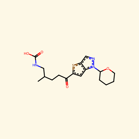 CC(CCC(=O)c1cc2c(cnn2C2CCCCO2)s1)CNC(=O)O